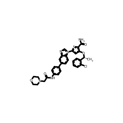 C[C@@H](Oc1cc(-n2cnc3cc(-c4ccc(NC(=O)CN5CCOCC5)cc4)ccc32)sc1C(N)=O)c1ccccc1Cl